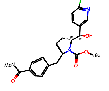 CNC(=O)c1ccc(CC2CC[C@H]([C@H](O)c3ccc(Cl)nc3)N2C(=O)OC(C)(C)C)cc1